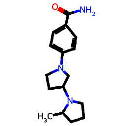 CC1CCCN1C1CCN(c2ccc(C(N)=O)cc2)C1